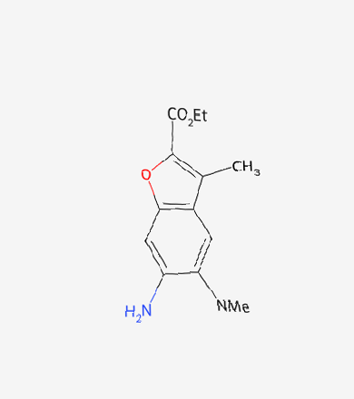 CCOC(=O)c1oc2cc(N)c(NC)cc2c1C